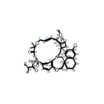 CO[C@@H]1/C=C/COC(C)(C)C(=O)N=[S@](=O)(NC(=O)C(C)C)c2ccc3c(c2)N(C[C@@H]2CC[C@H]21)C[C@@]1(CCCc2cc(Cl)ccc21)CO3